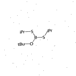 CC(C)SB(OC(C)(C)C)SC(C)C